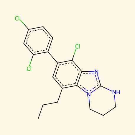 CCCc1cc(-c2ccc(Cl)cc2Cl)c(Cl)c2nc3n(c12)CCCN3